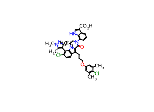 Cc1cc(OCCCc2c3n(c4c(-c5c(C)nn(C)c5C)c(Cl)ccc24)C(C)CN(c2cccc4c(C(=O)O)c[nH]c24)C3=O)cc(C)c1Cl